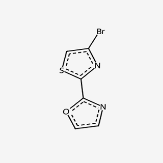 Brc1csc(-c2ncco2)n1